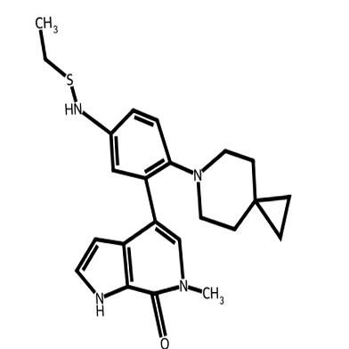 CCSNc1ccc(N2CCC3(CC2)CC3)c(-c2cn(C)c(=O)c3[nH]ccc23)c1